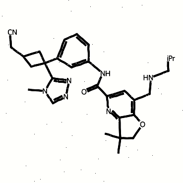 CC(C)CNCc1cc(C(=O)Nc2cccc(C3(c4nncn4C)CC(CC#N)C3)c2)nc2c1OCC2(C)C